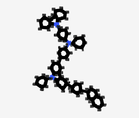 c1ccc(N(c2ccc(-c3ccc4c(c3)c3cc(-c5ccc(-c6ccc7ccccc7c6)cc5)ccc3n4-c3ccccc3)cc2)c2ccc(-n3c4ccccc4c4ccccc43)cc2)cc1